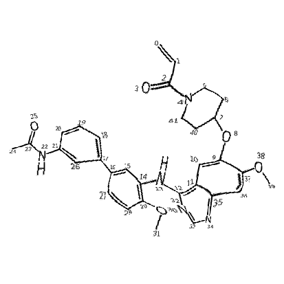 C=CC(=O)N1CCC(Oc2cc3c(Nc4cc(-c5cccc(NC(C)=O)c5)ccc4OC)ncnc3cc2OC)CC1